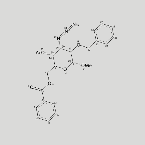 CO[C@@H]1OC(COC(=O)c2ccccc2)[C@H](OC(C)=O)[C@H](N=[N+]=[N-])C1OCc1ccccc1